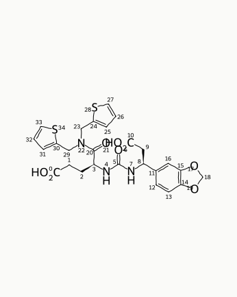 O=C(O)CC[C@H](NC(=O)N[C@@H](CC(=O)O)c1ccc2c(c1)OCO2)C(=O)N(Cc1cccs1)Cc1cccs1